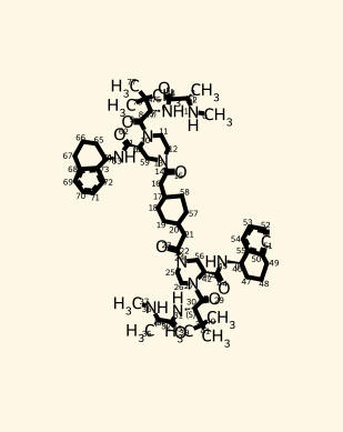 CN[C@@H](C)C(=O)N[C@H](C(=O)N1CCN(C(=O)CC2CCC(CC(=O)N3CCN(C(=O)[C@@H](NC(=O)[C@H](C)NC)C(C)(C)C)[C@H](C(=O)N[C@@H]4CCCc5ccccc54)C3)CC2)C[C@H]1C(=O)N[C@@H]1CCCc2ccccc21)C(C)(C)C